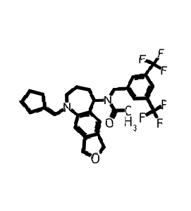 CC(=O)N(Cc1cc(C(F)(F)F)cc(C(F)(F)F)c1)C1CCCN(CC2CCCC2)c2cc3c(cc21)COC3